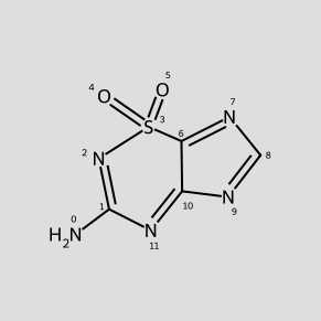 NC1=NS(=O)(=O)C2=NC=NC2=N1